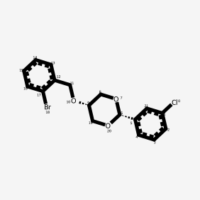 Clc1cccc([C@H]2OC[C@@H](OCc3ccccc3Br)CO2)c1